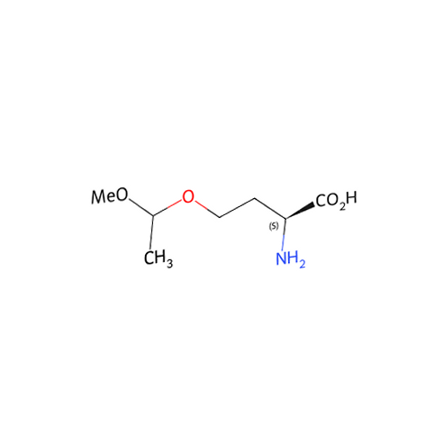 COC(C)OCC[C@H](N)C(=O)O